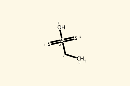 CCS(O)(=S)=S